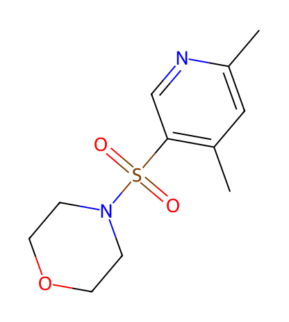 Cc1cc(C)c(S(=O)(=O)N2CCOCC2)cn1